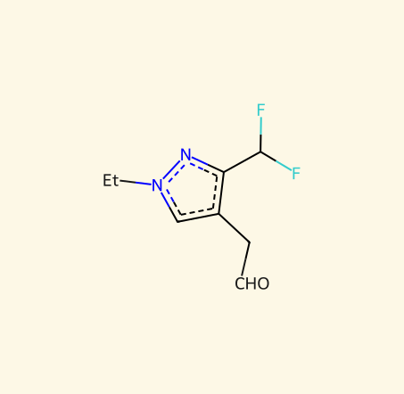 CCn1cc(CC=O)c(C(F)F)n1